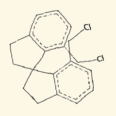 ClCc1cccc2c1C1(CC2)CCc2cccc(CCl)c21